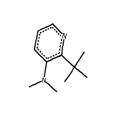 CN(C)c1cccnc1C(C)(C)C